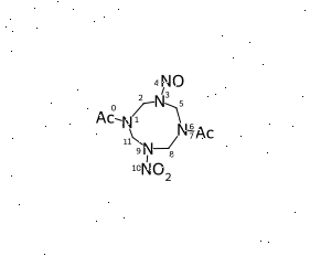 CC(=O)N1CN(N=O)CN(C(C)=O)CN([N+](=O)[O-])C1